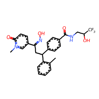 Cc1ccccc1C(CC(=NO)c1ccc(=O)n(C)c1)c1ccc(C(=O)NCC(O)C(F)(F)F)cc1